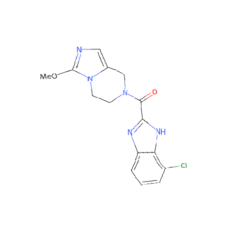 COc1ncc2n1CCN(C(=O)c1nc3cccc(Cl)c3[nH]1)C2